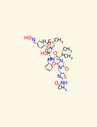 CC[C@H](C)[C@@H](C(=O)N[C@@H](Cc1ccccc1)[C@H](O)CN(CC(C)C)S(=O)(=O)c1ccc(/C=N/O)cc1)N1CC(=O)N(Cc2csc(NC(C)=O)n2)C1=O